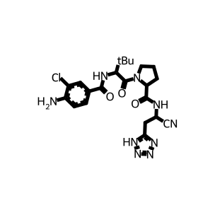 CC(C)(C)C(NC(=O)c1ccc(N)c(Cl)c1)C(=O)N1CCCC1C(=O)NC(C#N)Cc1nnn[nH]1